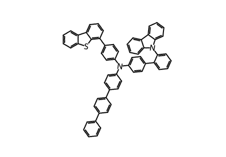 c1ccc(-c2ccc(-c3ccc(N(c4ccc(-c5ccccc5-n5c6ccccc6c6ccccc65)cc4)c4ccc(-c5cccc6c5sc5ccccc56)cc4)cc3)cc2)cc1